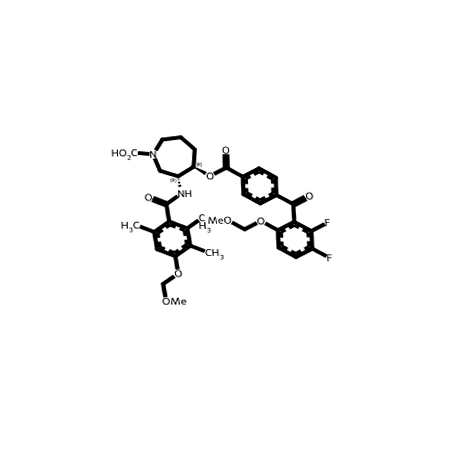 COCOc1cc(C)c(C(=O)N[C@@H]2CN(C(=O)O)CCC[C@H]2OC(=O)c2ccc(C(=O)c3c(OCOC)ccc(F)c3F)cc2)c(C)c1C